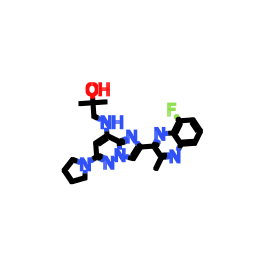 Cc1nc2cccc(F)c2nc1-c1cn2nc(N3CCCC3)cc(NCC(C)(C)O)c2n1